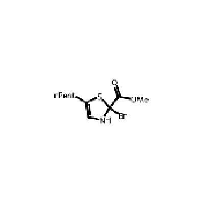 CCCCCC1=CNC(Br)(C(=O)OC)S1